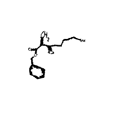 C=C(C(=O)CCCCCBr)C(=O)OCc1ccccc1